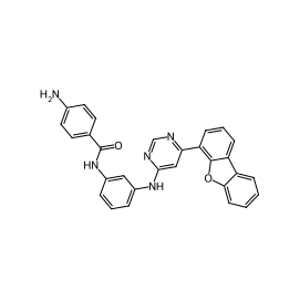 Nc1ccc(C(=O)Nc2cccc(Nc3cc(-c4cccc5c4oc4ccccc45)ncn3)c2)cc1